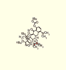 CCCCOc1noc2c1C(=O)[C@@]1(O[Si](C)(C)C(C)(C)C)C(O)=C3C(=O)c4c(OC(=O)OC(C)(C)C)ccc(N(C)C)c4C[C@H]3[C@@H](CN(C)C)[C@H]1[C@@H]2N(C)C